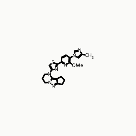 COc1nc(-c2nc(N3CCCn4nc5c(c43)CCC5)cs2)ccc1-n1cnc(C)c1